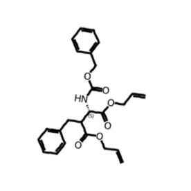 C=CCOC(=O)C(Cc1ccccc1)[C@H](NC(=O)OCc1ccccc1)C(=O)OCC=C